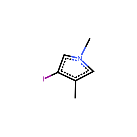 Cc1cn(C)cc1I